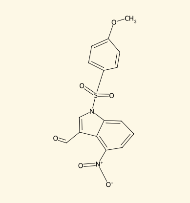 COc1ccc(S(=O)(=O)n2cc(C=O)c3c([N+](=O)[O-])cccc32)cc1